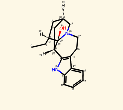 CC[C@H]1C[C@@H]2C[C@H]3c4[nH]c5ccccc5c4CCN(C2)[C@@]13O